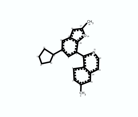 Cc1ccc2c(-c3cc(C4CCCC4)cc4cc(C)oc34)nccc2c1